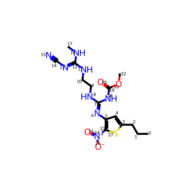 CCCc1cc(N=C(NCCNC(=NC#N)NC)NC(=O)OC)c([N+](=O)[O-])s1